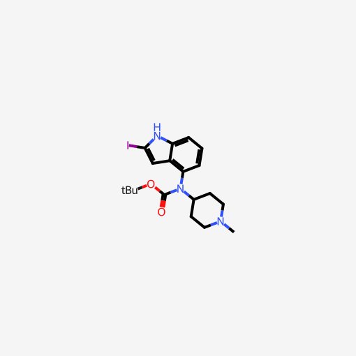 CN1CCC(N(C(=O)OC(C)(C)C)c2cccc3[nH]c(I)cc23)CC1